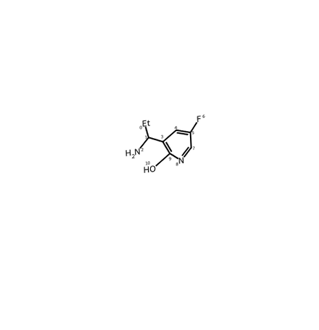 CCC(N)c1cc(F)cnc1O